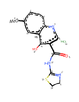 COc1ccc2ncc(C(=O)NC3=NCCS3)c(O)c2c1.Cl